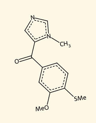 COc1cc(C(=O)c2cncn2C)ccc1SC